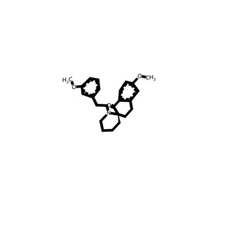 COc1cccc(CCN2CCCC[C@@]23CCc2cc(OC)ccc2C3=O)c1